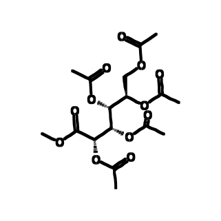 COC(=O)[C@@H](OC(C)=O)[C@@H](OC(C)=O)[C@H](OC(C)=O)[C@@H](COC(C)=O)OC(C)=O